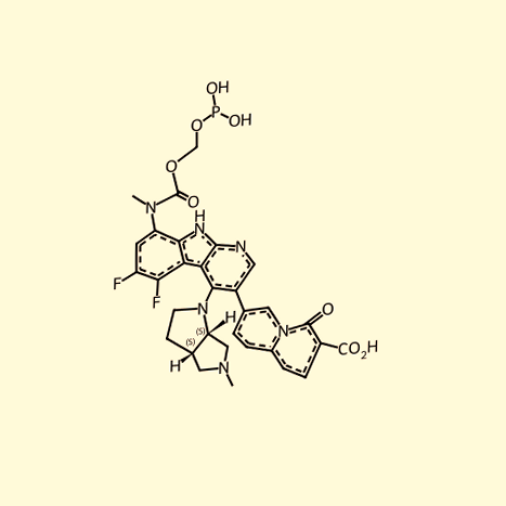 CN1C[C@@H]2CCN(c3c(-c4ccc5ccc(C(=O)O)c(=O)n5c4)cnc4[nH]c5c(N(C)C(=O)OCOP(O)O)cc(F)c(F)c5c34)[C@@H]2C1